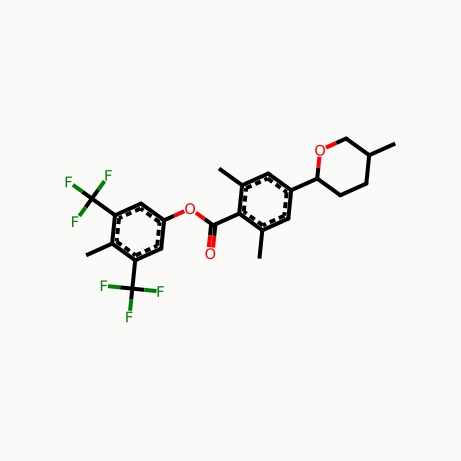 Cc1cc(C2CCC(C)CO2)cc(C)c1C(=O)Oc1cc(C(F)(F)F)c(C)c(C(F)(F)F)c1